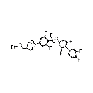 CCOCC1COC(c2cc(F)c(C(F)(F)Oc3cc(F)c(-c4ccc(F)c(F)c4)c(F)c3)c(F)c2)OC1